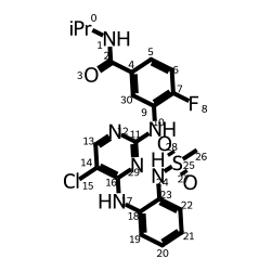 CC(C)NC(=O)c1ccc(F)c(Nc2ncc(Cl)c(Nc3ccccc3NS(C)(=O)=O)n2)c1